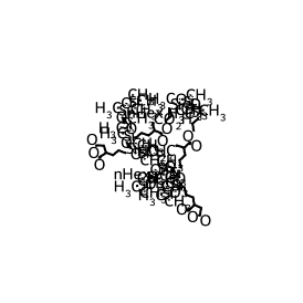 CCCCCC[Si](C)(O[Si](C)(C)C)O[Si](C)(C)O[Si](C)(CCCC(CC(=O)O)C(=O)OCCC[Si](C)(C)O[Si](C)(C)O[Si](C)(C)CCCOC(=O)C(CCC[Si](C)(O[Si](C)(C)O[Si](C)(CCCCCC)O[Si](C)(C)C)O[Si](C)(CCCC1CC(=O)OC1=O)O[Si](C)(C)C)CC(=O)O)O[Si](C)(CCCC1CC(=O)OC1=O)O[Si](C)(C)C